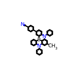 Cc1cc2c3c(c1)N(c1ccccc1)c1ccc(-c4ccc(C#N)cc4)cc1B3c1ccccc1N2c1ccccc1